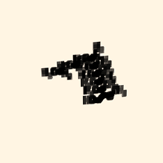 C=CC.C=CC.C=CC.C=CC.C=CC.C=CC.C=CC.COCCO